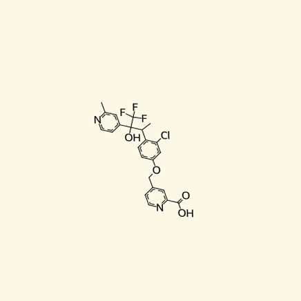 Cc1cc(C(O)(C(C)c2ccc(OCc3ccnc(C(=O)O)c3)cc2Cl)C(F)(F)F)ccn1